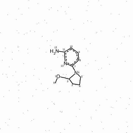 COC1CCCN1c1cccc(N)n1